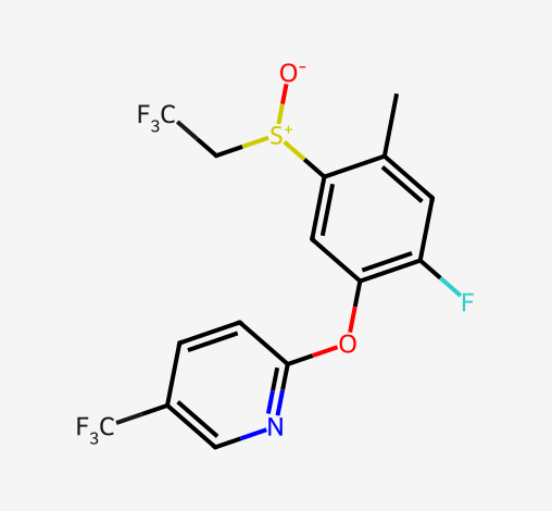 Cc1cc(F)c(Oc2ccc(C(F)(F)F)cn2)cc1[S+]([O-])CC(F)(F)F